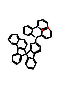 c1ccc(-c2ccccc2N(c2ccccc2)c2ccc3c(c2)C2(c4ccccc4-3)c3ccccc3-c3c2ccc2ccccc32)cc1